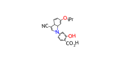 CC(C)OC1=CC2C(C=C1)C(C#N)=CN2c1ccc(C(=O)O)c(O)c1